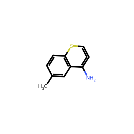 Cc1ccc2c(c1)C(N)=C=CS2